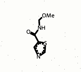 COCNC(=O)c1cncs1